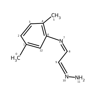 Cc1ccc(C)c(/N=C\C=N/N)c1